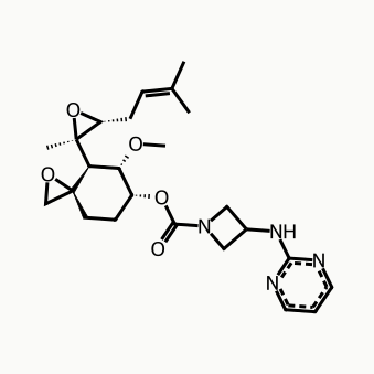 CO[C@@H]1[C@H](OC(=O)N2CC(Nc3ncccn3)C2)CC[C@]2(CO2)[C@H]1[C@@]1(C)O[C@@H]1CC=C(C)C